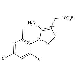 CCOC(=O)C[N+]1=C(N)N(c2c(C)cc(Cl)cc2Cl)CC1